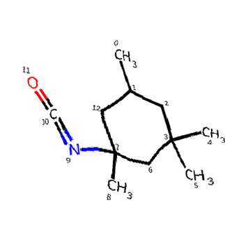 CC1CC(C)(C)CC(C)(N=C=O)C1